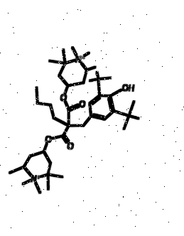 CCCCC(Cc1cc(C(C)(C)C)c(O)c(C(C)(C)C)c1)(C(=O)OC1CC(C)[N+](C)(C)C(C)(C)C1)C(=O)OC1CC(C)[N+](C)(C)C(C)(C)C1